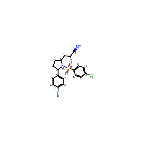 N#CCCC1CCC(c2ccc(F)cc2)N1S(=O)(=O)c1ccc(Cl)cc1